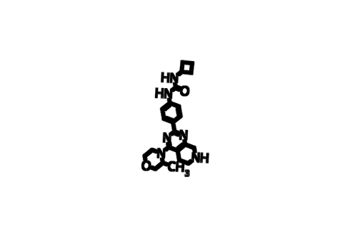 CC1COCCN1c1nc(-c2ccc(NC(=O)NC3CCC3)cc2)nc2c1CCNC2